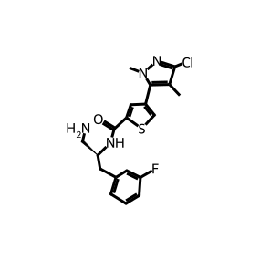 Cc1c(Cl)nn(C)c1-c1csc(C(=O)N[C@H](CN)Cc2cccc(F)c2)c1